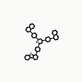 c1ccc2c(-c3ccc(-c4cc(-c5ccc(-c6cccc7ccccc67)cc5)nc(-c5ccc(-c6cccc7c6sc6ccccc67)cc5)c4)cc3)cccc2c1